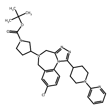 CC(C)(C)OC(=O)N1CCC(N2Cc3cc(Cl)ccc3-n3c(nnc3C3CCN(c4ccccn4)CC3)C2)C1